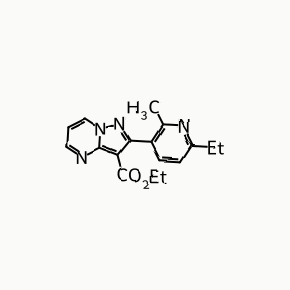 CCOC(=O)c1c(-c2ccc(CC)nc2C)nn2cccnc12